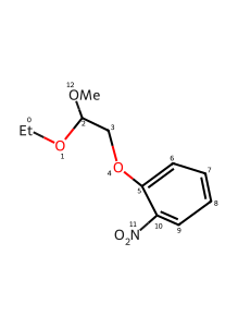 CCOC(COc1ccccc1[N+](=O)[O-])OC